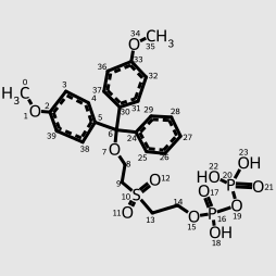 COc1ccc(C(OCCS(=O)(=O)CCOP(=O)(O)OP(=O)(O)O)(c2ccccc2)c2ccc(OC)cc2)cc1